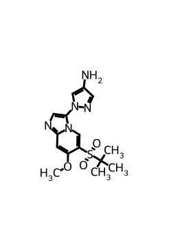 COc1cc2ncc(-n3cc(N)cn3)n2cc1S(=O)(=O)C(C)(C)C